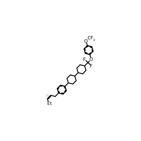 CC/C=C\Cc1ccc(C2CCC(C3CCC(C(F)(F)Oc4ccc(OC(F)(F)F)cc4)CC3)CC2)cc1